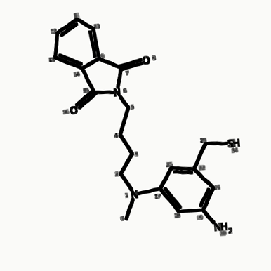 CN(CCCCN1C(=O)c2ccccc2C1=O)c1cc(N)cc(CS)c1